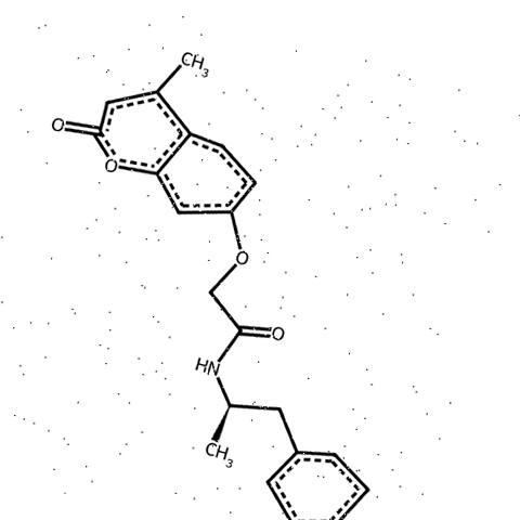 Cc1cc(=O)oc2cc(OCC(=O)N[C@H](C)Cc3ccccc3)ccc12